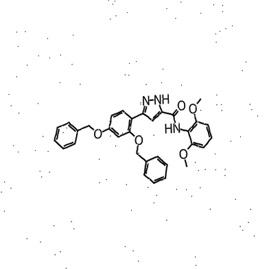 COc1cccc(OC)c1NC(=O)c1cc(-c2ccc(OCc3ccccc3)cc2OCc2ccccc2)n[nH]1